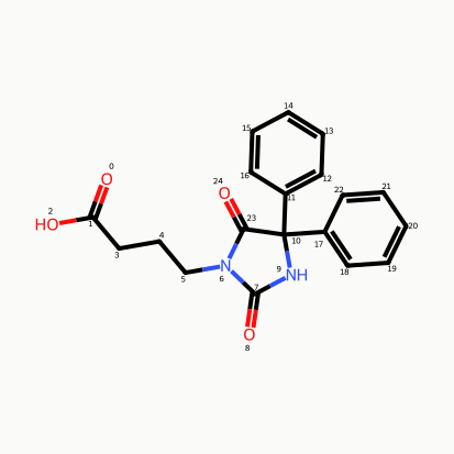 O=C(O)CCCN1C(=O)NC(c2ccccc2)(c2ccccc2)C1=O